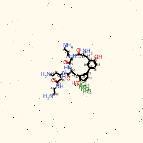 Cl.Cl.Cl.Cl.NCCC[C@@H]1NC(=O)[C@@H](N)Cc2cc(ccc2O)-c2ccc(O)c(c2)C[C@@H](C(=O)NC(CCN)CC(=O)NCCN)NC1=O